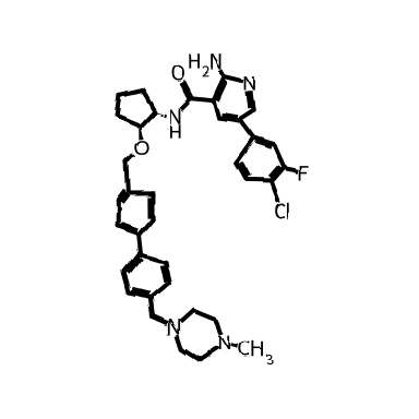 CN1CCN(Cc2ccc(-c3ccc(CO[C@H]4CCC[C@@H]4NC(=O)c4cc(-c5ccc(Cl)c(F)c5)cnc4N)cc3)cc2)CC1